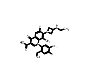 CCNC1CN(c2c(F)cc3c(=O)c(C(=O)O)cn(-c4cc(N)c(F)cc4CO)c3c2C)C1